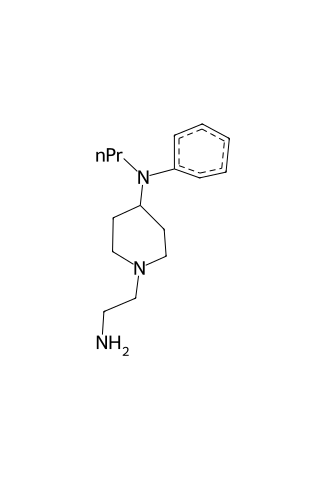 CCCN(c1ccccc1)C1CCN(CCN)CC1